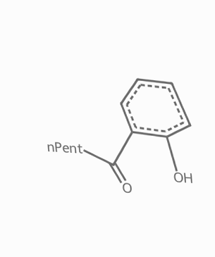 CCCCCC(=O)c1ccccc1O